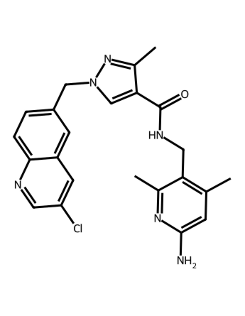 Cc1cc(N)nc(C)c1CNC(=O)c1cn(Cc2ccc3ncc(Cl)cc3c2)nc1C